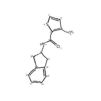 Cc1ccsc1C(=O)NC1Cc2ccccc2C1